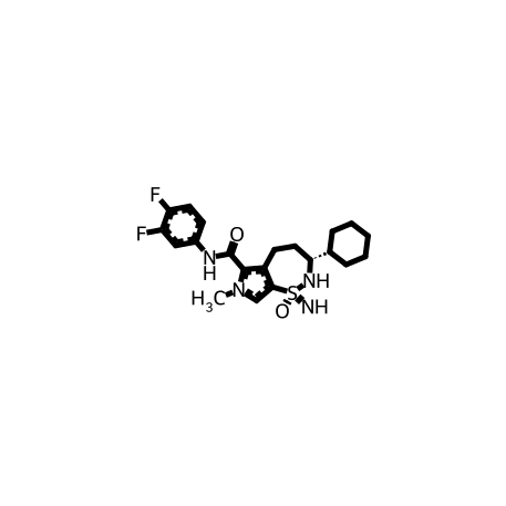 Cn1cc2c(c1C(=O)Nc1ccc(F)c(F)c1)CC[C@H](C1CCCCC1)NS2(=N)=O